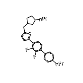 CCCc1ccc(-c2ccc(-c3ccc(CC4CCC(CCC)C4)s3)c(F)c2F)cc1